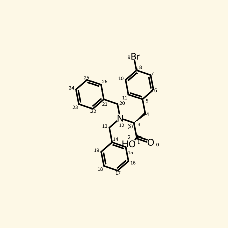 O=C(O)[C@H](Cc1ccc(Br)cc1)N(Cc1ccccc1)Cc1ccccc1